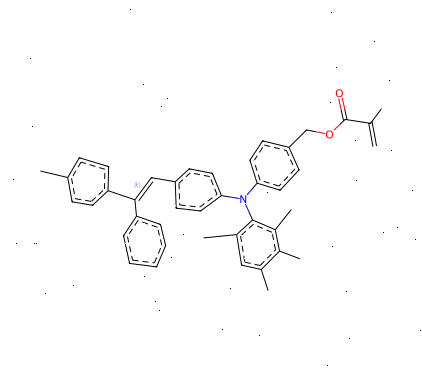 C=C(C)C(=O)OCc1ccc(N(c2ccc(/C=C(\c3ccccc3)c3ccc(C)cc3)cc2)c2c(C)cc(C)c(C)c2C)cc1